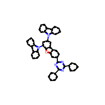 c1ccc(-c2nc(-c3ccccc3)nc(-c3ccc4c(c3)oc3c(-n5c6ccccc6c6ccccc65)cc(-n5c6ccccc6c6ccccc65)cc34)n2)cc1